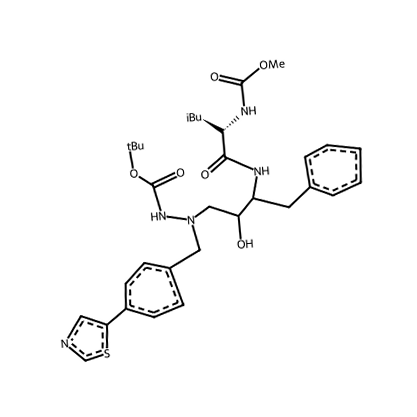 CC[C@H](C)[C@H](NC(=O)OC)C(=O)NC(Cc1ccccc1)C(O)CN(Cc1ccc(-c2cncs2)cc1)NC(=O)OC(C)(C)C